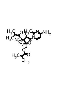 C=C1N=C(N)C=CN1[C@@H]1O[C@@](COC(=O)C(C)C)(N=[N+]=[N-])[C@@H](OC(=O)C(C)C)[C@H]1F